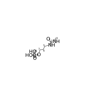 CNC(=O)NCCCOP(=O)(O)O